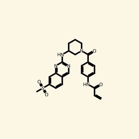 C=CC(=O)Nc1ccc(C(=O)N2CCCC(Nc3ncc4ccc(S(C)(=O)=O)cc4n3)C2)cc1